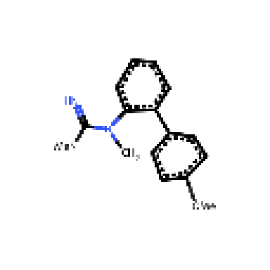 CNC(=N)N(C)c1ccccc1-c1ccc(OC)cc1